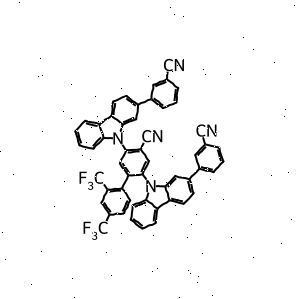 N#Cc1cccc(-c2ccc3c4ccccc4n(-c4cc(-c5ccc(C(F)(F)F)cc5C(F)(F)F)c(-n5c6ccccc6c6ccc(-c7cccc(C#N)c7)cc65)cc4C#N)c3c2)c1